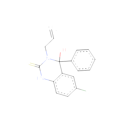 C=CCN1C(=S)Nc2ccc(Cl)cc2C1(O)c1ccccc1